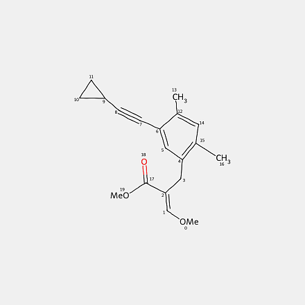 CO/C=C(\Cc1cc(C#CC2CC2)c(C)cc1C)C(=O)OC